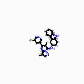 Cc1c(-c2cncc(F)c2)nc2c(C)cnn2c1N[C@@H]1CCc2[nH]c3ccccc3c2C1